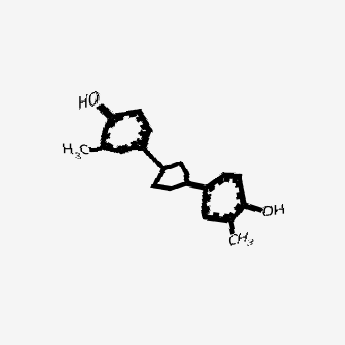 Cc1cc(C2CCC(c3ccc(O)c(C)c3)C2)ccc1O